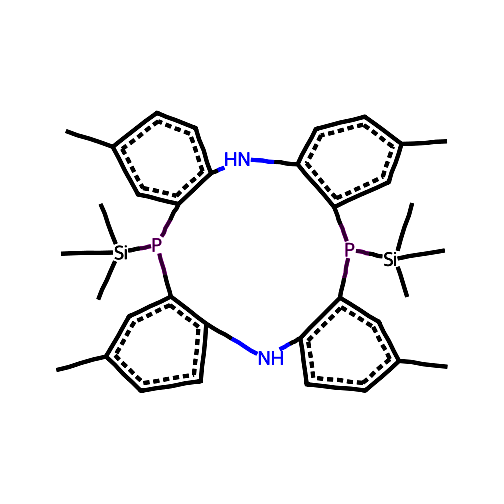 Cc1ccc2c(c1)P([Si](C)(C)C)c1cc(C)ccc1Nc1ccc(C)cc1P([Si](C)(C)C)c1cc(C)ccc1N2